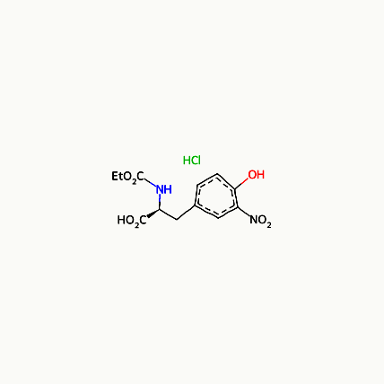 CCOC(=O)N[C@@H](Cc1ccc(O)c([N+](=O)[O-])c1)C(=O)O.Cl